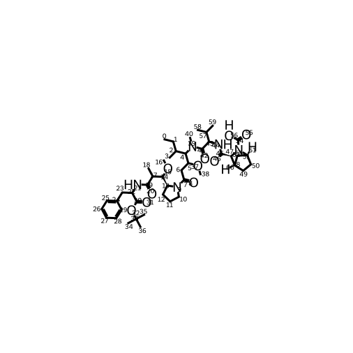 CCC(C)C(C(CC(=O)N1CCC[C@H]1C(OC)C(C)C(=O)NC(Cc1ccccc1)C(=O)OC(C)(C)C)OC)N(C)C(=O)C(NC(=O)[C@@H]1[C@H]2CC[C@H](C2)N1C(=O)O)C(C)C